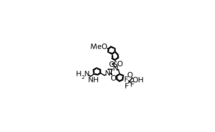 COc1ccc2ccc(S(=O)(=O)N(Cc3ccccc3)[C@H]3CN(Cc4cccc(C(=N)N)c4)C3=O)cc2c1.O=C(O)C(F)(F)F